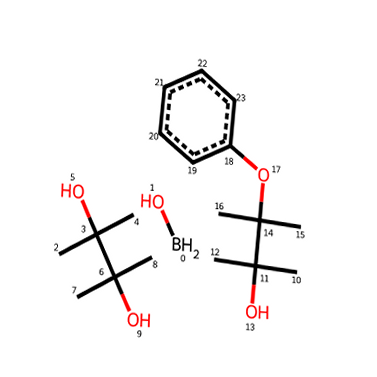 BO.CC(C)(O)C(C)(C)O.CC(C)(O)C(C)(C)Oc1ccccc1